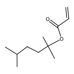 C=CC(=O)OC(C)(C)CCC(C)C